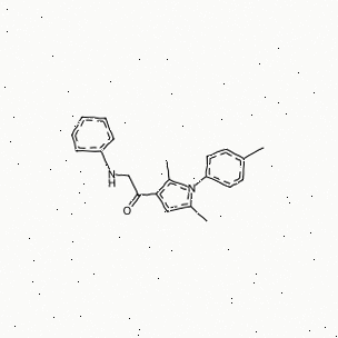 Cc1ccc(-n2c(C)cc(C(=O)CNc3ccccc3)c2C)cc1